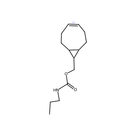 CCCNC(=O)OCC1C2CC/C=C\CCC21